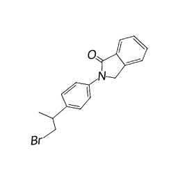 CC(CBr)c1ccc(N2Cc3ccccc3C2=O)cc1